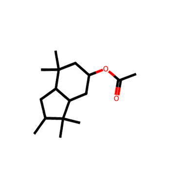 CC(=O)OC1CC2C(CC(C)C2(C)C)C(C)(C)C1